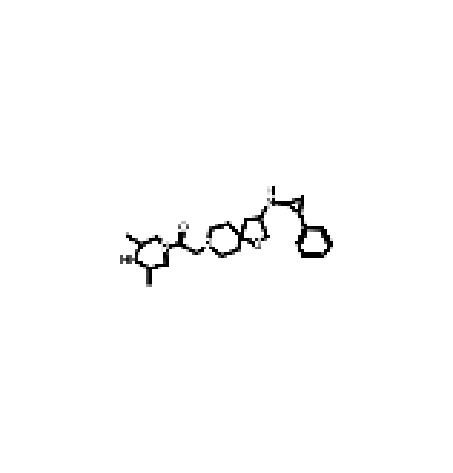 CC1CN(C(=O)CN2CCC3(CC2)CC(NC2CC2c2ccccc2)CO3)CC(C)N1